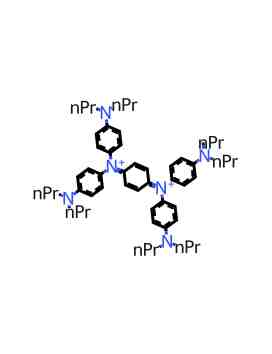 CCCN(CCC)c1ccc([N+](=C2C=CC(=[N+](c3ccc(N(CCC)CCC)cc3)c3ccc(N(CCC)CCC)cc3)C=C2)c2ccc(N(CCC)CCC)cc2)cc1